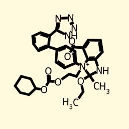 CCOC1(C)Nc2cccc(C(=O)[O-])c2[N+]1(CCOC(=O)OC1CCCCC1)c1ccc(-c2ccccc2-c2nnn[nH]2)cc1